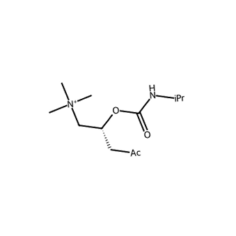 CC(=O)C[C@H](C[N+](C)(C)C)OC(=O)NC(C)C